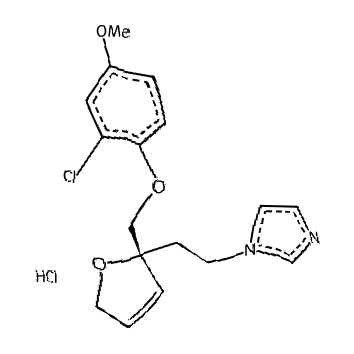 COc1ccc(OC[C@@]2(CCn3ccnc3)C=CCO2)c(Cl)c1.Cl